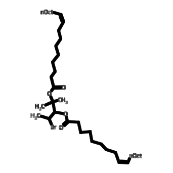 CCCCCCCC/C=C\CCCCCCCC(=O)OC(C(C)Br)C(C)(C)OC(=O)CCCCCCC/C=C\CCCCCCCC